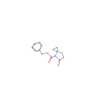 O=C1CCC2(CC2)N1C(=O)OCc1ccccc1